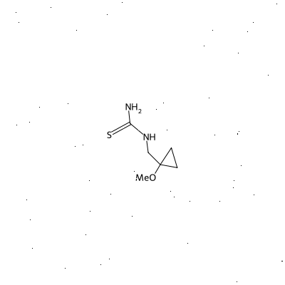 COC1(CNC(N)=S)CC1